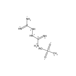 CS(=O)(=O)O.N=C(N)NNC(=N)N